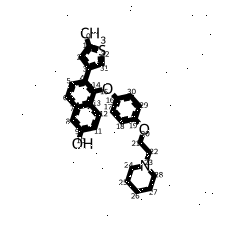 Cc1cc(-c2ccc3cc(O)ccc3c2Oc2ccc(OCCN3CCCCC3)cc2)cs1